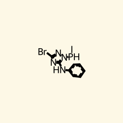 Brc1nc(Nc2ccccc2)n(PI)n1